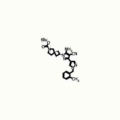 Cc1ccccc1Cn1cc(-c2nn([C@H]3C[C@@]4(CCN(C(=O)OC(C)(C)C)C4)C3)c(N)c2C#N)cn1